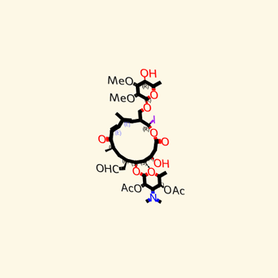 COC1C(OC)[C@H](O)C(C)O[C@H]1OCC1/C=C(C)/C=C/C(=O)[C@H](C)C[C@H](CC=O)[C@H](OC2OC(C)[C@@H](OC(C)=O)C(N(C)C)C2OC(C)=O)[C@@H](C)[C@H](O)CC(=O)O[C@@H]1I